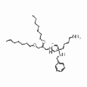 CCCCCCCOCC(CNC[C@@](C=O)(CCCCN)NCc1ccccc1)OCCCCCCC